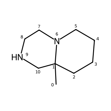 CC12CCCCN1CCNC2